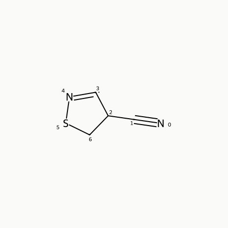 N#CC1[C]=NSC1